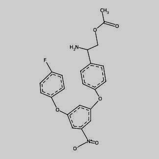 CC(=O)OCC(N)c1ccc(Oc2cc(Oc3ccc(F)cc3)cc([N+](=O)[O-])c2)cc1